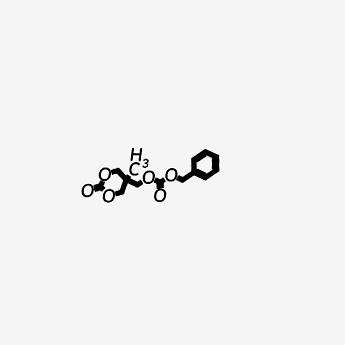 CC1(COC(=O)OCc2ccccc2)COC(=O)OC1